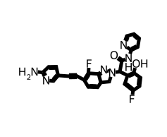 Nc1ccc(C#CC2=C(F)C3=NN(C(C(=O)Nc4ccccn4)c4cc(F)ccc4O)CC3C=C2)cn1